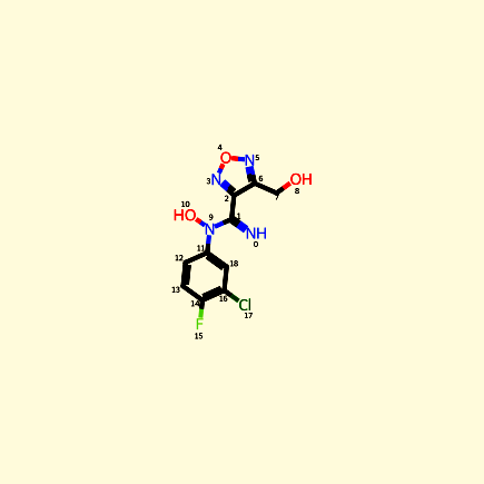 N=C(c1nonc1CO)N(O)c1ccc(F)c(Cl)c1